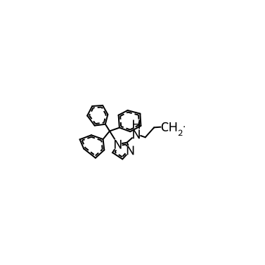 [CH2]CCNc1nccn1C(c1ccccc1)(c1ccccc1)c1ccccc1